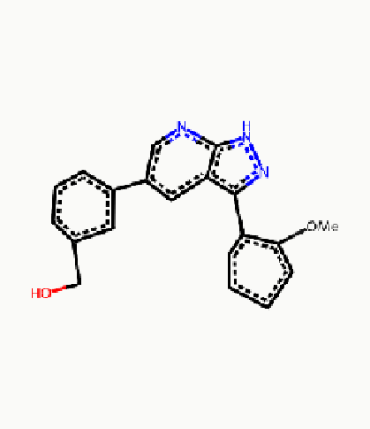 COc1ccccc1-c1n[nH]c2ncc(-c3cccc(CO)c3)cc12